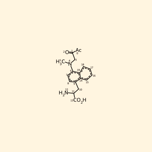 CC(=O)C(=O)CN(C)c1ccc(CC(N)C(=O)O)c2ccccc12